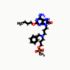 CCCCOc1nc(N)c2[nH]c(=O)n(CCCN(CCCOS(C)(=O)=O)Cc3cc[c]cc3)c2n1